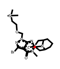 Cn1c(N2C3CCCC2CN(C(=O)O)C3)nc2c(c(Br)nn2COCC[Si](C)(C)C)c1=O